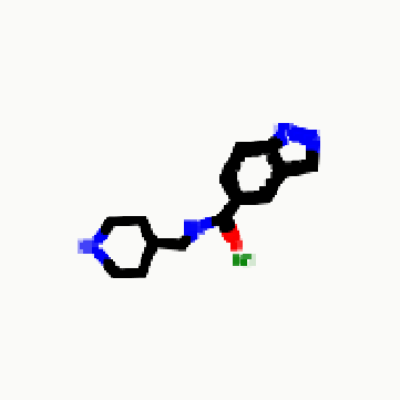 Cl.O=C(NCC1CCNCC1)c1ccc2[nH]ncc2c1